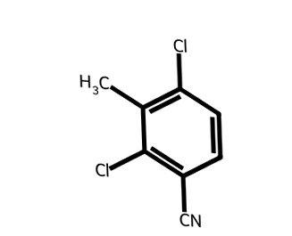 Cc1c(Cl)ccc(C#N)c1Cl